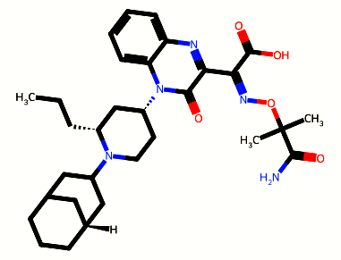 CCC[C@@H]1C[C@H](n2c(=O)c(/C(=N/OC(C)(C)C(N)=O)C(=O)O)nc3ccccc32)CCN1C1CC2CCC[C@H](C2)C1